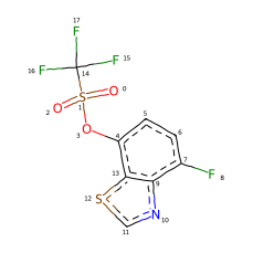 O=S(=O)(Oc1ccc(F)c2ncsc12)C(F)(F)F